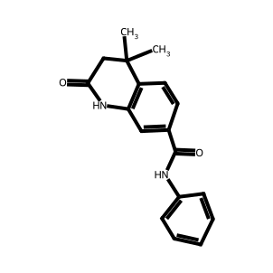 CC1(C)CC(=O)Nc2cc(C(=O)Nc3ccccc3)ccc21